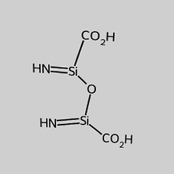 N=[Si](O[Si](=N)C(=O)O)C(=O)O